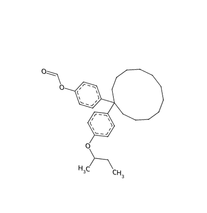 CCC(C)Oc1ccc(C2(c3ccc(OC=O)cc3)CCCCCCCCCCC2)cc1